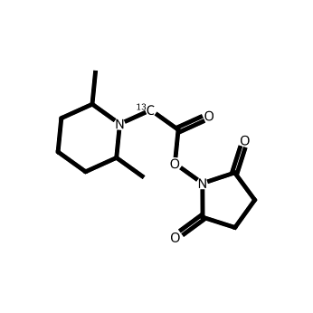 CC1CCCC(C)N1[13CH2]C(=O)ON1C(=O)CCC1=O